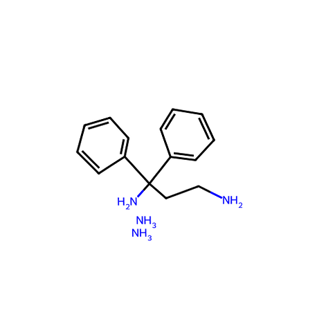 N.N.NCCC(N)(c1ccccc1)c1ccccc1